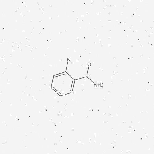 N[S+]([O-])c1ccccc1F